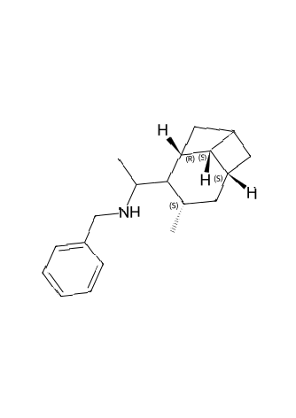 CC(NCc1ccccc1)C1[C@@H](C)C[C@H]2CC3C[C@@H]1[C@H]32